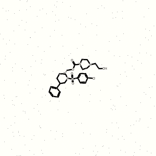 O=C(OC[C@H]1CCC(c2ccccc2)CN1S(=O)(=O)c1ccc(Cl)cc1)N1CCN(CCO)CC1